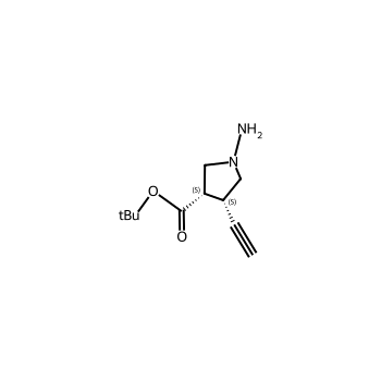 C#C[C@H]1CN(N)C[C@H]1C(=O)OC(C)(C)C